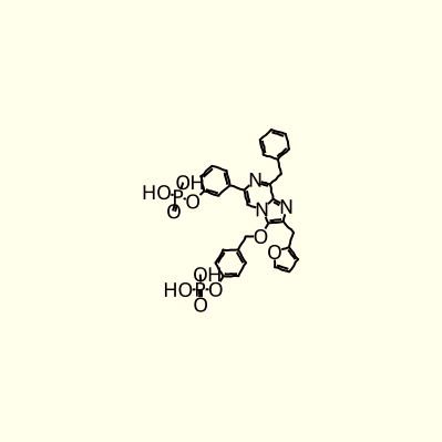 O=P(O)(O)Oc1ccc(COc2c(Cc3ccco3)nc3c(Cc4ccccc4)nc(-c4cccc(OP(=O)(O)O)c4)cn23)cc1